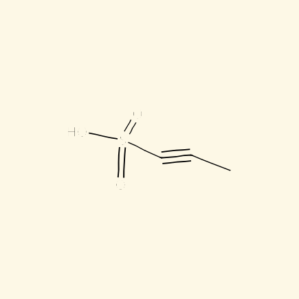 CC#CS(=O)(=O)O